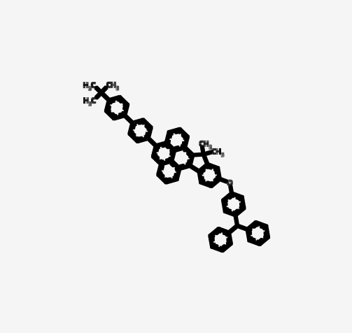 CC(C)(C)c1ccc(-c2ccc(-c3cc4cccc5c6c(c7cccc3c7c45)C(C)(C)c3cc(Oc4ccc(C(c5ccccc5)c5ccccc5)cc4)ccc3-6)cc2)cc1